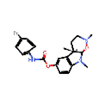 CC(C)c1ccc(NC(=O)Oc2ccc3c(c2)[C@]2(C)CCN(C)OC2N3C)cc1